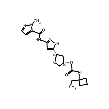 CCC1(NC(=O)O[C@@H]2CO[C@H](c3cc(NC(=O)c4ccnn4C)n[nH]3)C2)CCC1